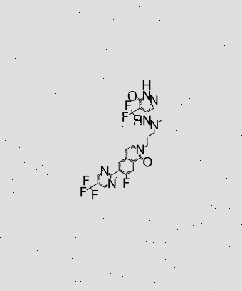 CN(CCCn1ccc2cc(-c3ncc(C(F)(F)F)cn3)c(F)cc2c1=O)Nc1cn[nH]c(=O)c1C(F)(F)F